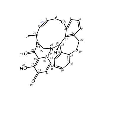 C[C@H]1/C=C\COc2cccc3c2[C@H](c2ccccc2SC3)N2CN1C(=O)c1c(O)c(=O)ccn12